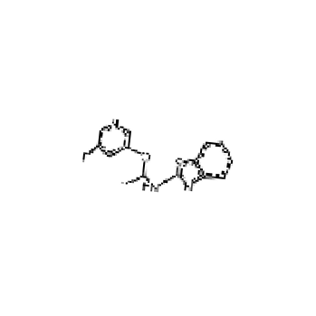 [CH2]C(Nc1nc2ccccc2s1)Oc1cncc(F)c1